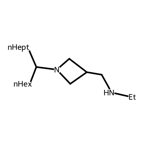 CCCCCCCC(CCCCCC)N1CC(CNCC)C1